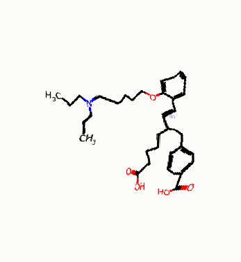 CCCN(CCC)CCCCCOc1ccccc1/C=C/C(CCCCC(=O)O)Cc1ccc(C(=O)O)cc1